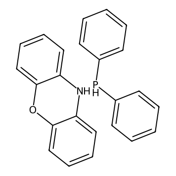 c1ccc(Pc2ccccc2)cc1.c1ccc2c(c1)Nc1ccccc1O2